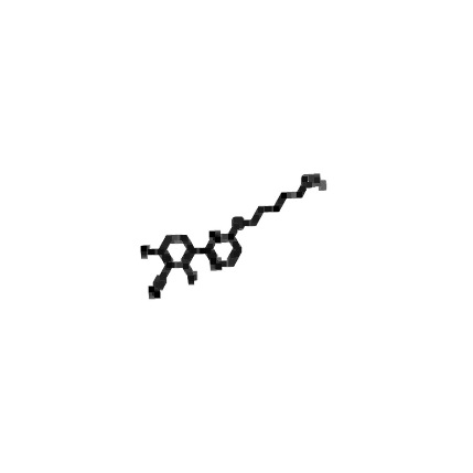 CCCCCCOc1ccnc(-c2ccc(F)c(C#N)c2F)n1